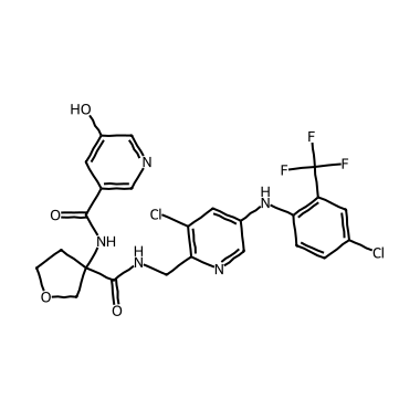 O=C(NC1(C(=O)NCc2ncc(Nc3ccc(Cl)cc3C(F)(F)F)cc2Cl)CCOC1)c1cncc(O)c1